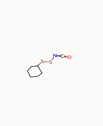 O=C=NSSC1CCCCC1